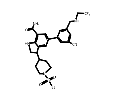 CCS(=O)(=O)N1CCC(C2CNc3c(C(N)=O)cc(-c4cc(C#N)cc(CNCC(F)(F)F)c4)cc32)CC1